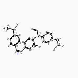 C=CN(c1ccc(OC(C)C)cc1)c1ccc(/C=C\c2ccc(C(C)N)cc2)cc1C